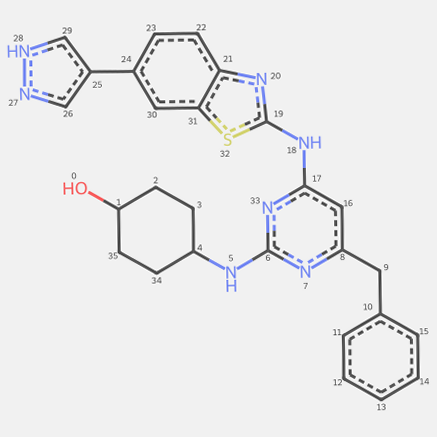 OC1CCC(Nc2nc(Cc3ccccc3)cc(Nc3nc4ccc(-c5cn[nH]c5)cc4s3)n2)CC1